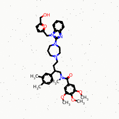 COc1cc(C(=O)N(C)CC(CCN2CCCN(c3nc4ccccc4n3Cc3ccc(CO)o3)CC2)c2ccc(C)c(C)c2)cc(OC)c1OC